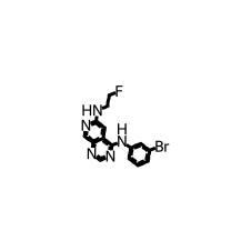 FCCNc1cc2c(Nc3cccc(Br)c3)ncnc2cn1